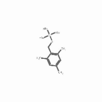 CCC[CH2][Sn]([CH2]CCC)([CH2]CCC)[S]Cc1c(C)cc(C)cc1C